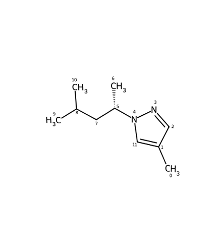 Cc1cnn([C@@H](C)CC(C)C)c1